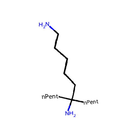 CCCCCC(N)(CCCCC)CCCCCN